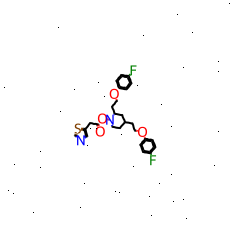 O=C(Cc1cncs1)ON1CCC(CCOc2ccc(F)cc2)CC1CCOc1ccc(F)cc1